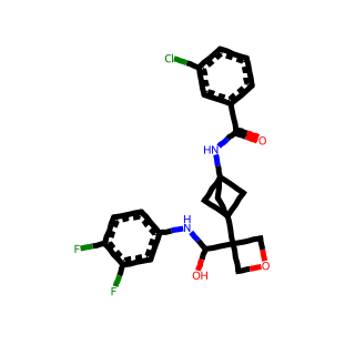 O=C(NC12CC(C3(C(O)Nc4ccc(F)c(F)c4)COC3)(C1)C2)c1cccc(Cl)c1